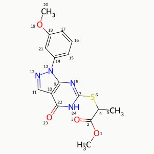 COC(=O)C(C)Sc1nc2c(cnn2-c2cccc(OC)c2)c(=O)[nH]1